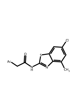 CC(=O)CC(=O)Nc1nc2c(C)cc(Cl)cc2s1